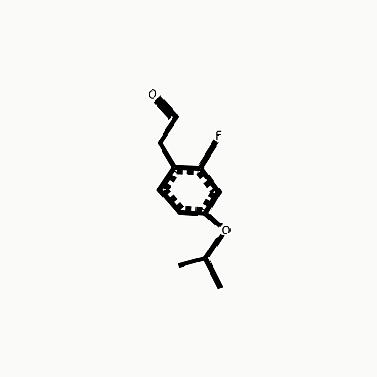 CC(C)Oc1ccc(CC=O)c(F)c1